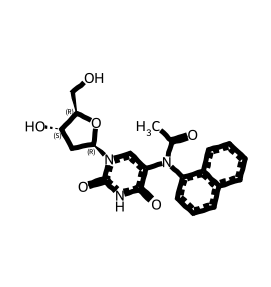 CC(=O)N(c1cn([C@H]2C[C@H](O)[C@@H](CO)O2)c(=O)[nH]c1=O)c1cccc2ccccc12